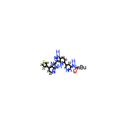 CCCCC(=O)Nc1cncc(-c2ccc3[nH]nc(-c4nc5c(-c6ccsc6)ccnc5[nH]4)c3n2)c1